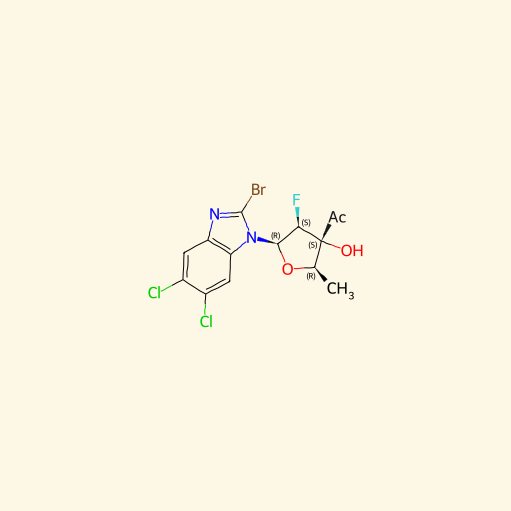 CC(=O)[C@]1(O)[C@H](F)[C@H](n2c(Br)nc3cc(Cl)c(Cl)cc32)O[C@@H]1C